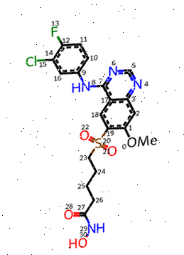 COc1cc2ncnc(Nc3ccc(F)c(Cl)c3)c2cc1S(=O)(=O)CCCCC(=O)NO